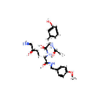 COc1ccc(CNC(=O)[C@H](CCC(=O)C=N)NC(=O)[C@H](Cc2cccc(O)c2)NC(C)=O)cc1